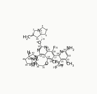 C=C1CN2CCC[C@@]2(COc2nc3c4c(c(Cl)c(-c5nc(N)cc(C)c5C(F)(F)F)c(F)c4n2)OCC[C@@H]2[C@@H]4CC[C@H](CN32)N4)C1